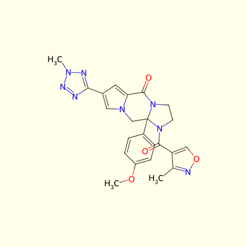 COc1ccc(C23Cn4cc(-c5nnn(C)n5)cc4C(=O)N2CCN3C(=O)c2conc2C)cc1